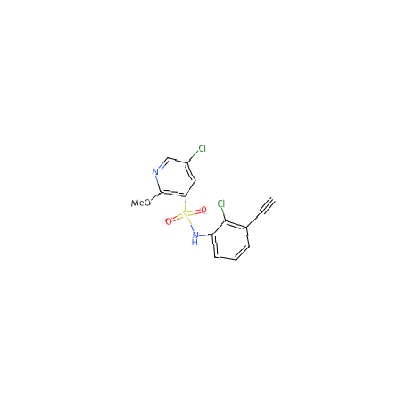 C#Cc1cccc(NS(=O)(=O)c2cc(Cl)cnc2OC)c1Cl